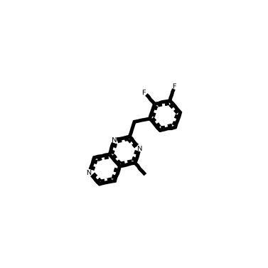 Cc1nc(Cc2cccc(F)c2F)nc2cnccc12